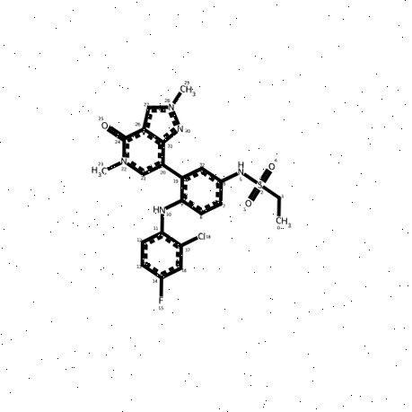 CCS(=O)(=O)Nc1ccc(Nc2ccc(F)cc2Cl)c(-c2cn(C)c(=O)c3cn(C)nc23)c1